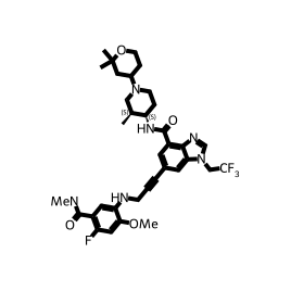 CNC(=O)c1cc(NCC#Cc2cc(C(=O)N[C@H]3CCN(C4CCOC(C)(C)C4)C[C@@H]3C)c3ncn(CC(F)(F)F)c3c2)c(OC)cc1F